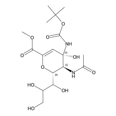 COC(=O)C1=C[C@@](O)(NC(=O)OC(C)(C)C)[C@@H](NC(C)=O)[C@H](C(O)C(O)CO)O1